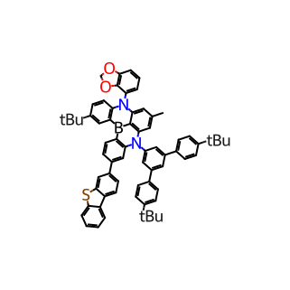 Cc1cc2c3c(c1)N(c1cccc4c1OCO4)c1ccc(C(C)(C)C)cc1B3c1ccc(-c3ccc4c(c3)sc3ccccc34)cc1N2c1cc(-c2ccc(C(C)(C)C)cc2)cc(-c2ccc(C(C)(C)C)cc2)c1